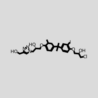 CC1CC(C(C)(C)c2ccc(OC[C@@H](O)CCl)c(I)c2)=CC=C1OC[C@@H](O)Cn1cc(CO)nn1